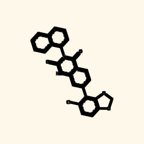 O=c1[nH]c2cc(-c3c(Cl)ccc4c3OCO4)ccc2c(=O)n1-c1cccc2ccccc12